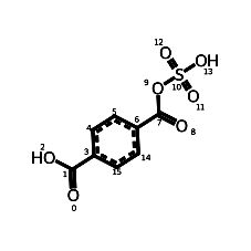 O=C(O)c1ccc(C(=O)OS(=O)(=O)O)cc1